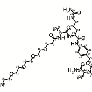 CC(C)C(NC(=O)CCOCCOCCOCCOCCN)C(=O)NC(CCCNC(N)=O)C(=O)Nc1ccc(COC(=O)N(C)C(C(N)=O)C(C)C)cc1